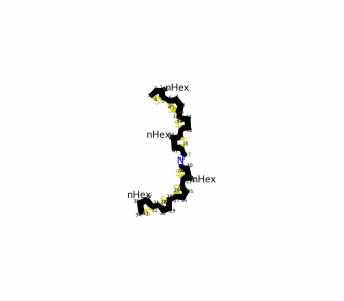 CCCCCCc1ccsc1-c1ccc(-c2ccc(-c3sc(/C=N/c4cc(CCCCCC)c(-c5ccc(-c6ccc(-c7sccc7CCCCCC)s6)s5)s4)cc3CCCCCC)s2)s1